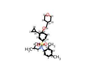 Cc1ccc(N(CC(C)C)S(=O)(=O)c2ccc(OCC3CCOCC3)c(C3CC3)c2)c(C)c1